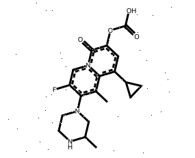 Cc1c(N2CCNC(C)C2)c(F)cn2c(=O)c(OC(=O)O)cc(C3CC3)c12